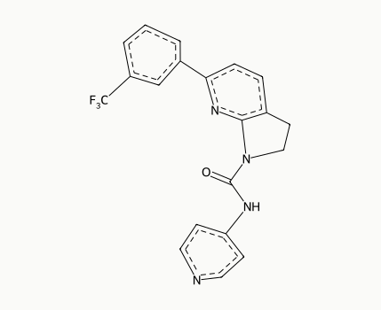 O=C(Nc1ccncc1)N1CCc2ccc(-c3cccc(C(F)(F)F)c3)nc21